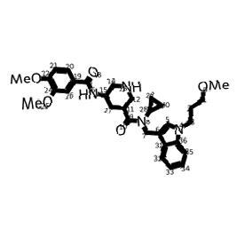 COCCCn1cc(CN(C(=O)C2CNCC(NC(=O)c3ccc(OC)c(OC)c3)C2)C2CC2)c2ccccc21